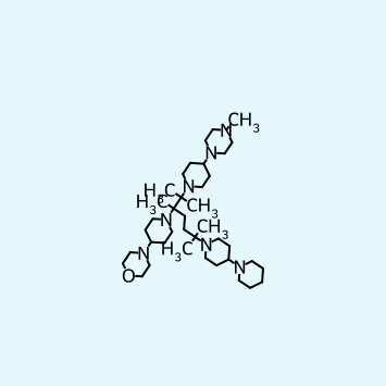 CN1CCN(C2CCN(C(C)(C)C(C)(CCC(C)(C)N3CCC(N4CCCCC4)CC3)N3CCC(N4CCOCC4)CC3)CC2)CC1